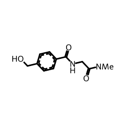 CNC(=O)CNC(=O)c1ccc(CO)cc1